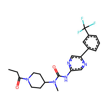 CCC(=O)N1CCC(N(C)C(=O)Nc2cnc(-c3cccc(C(F)(F)F)c3)cn2)CC1